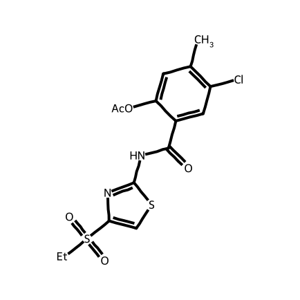 CCS(=O)(=O)c1csc(NC(=O)c2cc(Cl)c(C)cc2OC(C)=O)n1